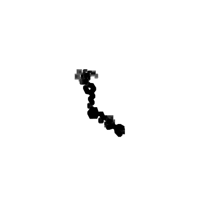 CC(C)(C)OC(=O)N1CCC(CCCOc2cccc(CC(=O)Nc3nc(-c4ccncc4)cs3)c2)CC1